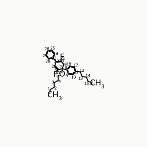 CCCCCCOC1(c2ccc(CCCCC)cc2)CC(F)=C(c2ccccc2)C=C1F